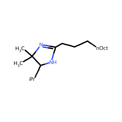 CCCCCCCCCCCC1=NC(C)(C)C(C(C)C)N1